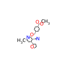 COC(=O)c1ccc(COc2nc(C)cc(-c3ccco3)c2C#N)cc1